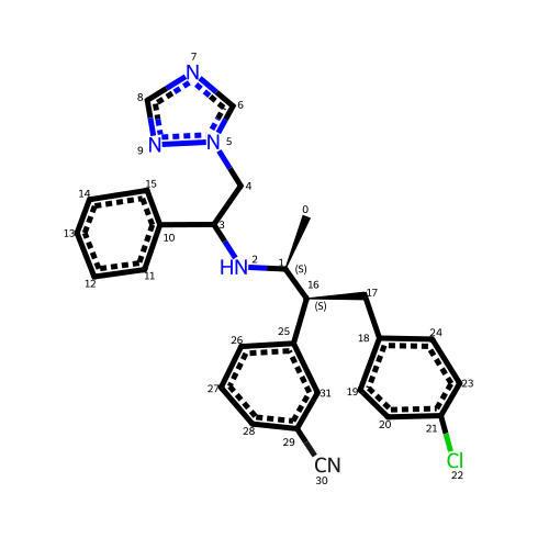 C[C@H](NC(Cn1cncn1)c1ccccc1)[C@@H](Cc1ccc(Cl)cc1)c1cccc(C#N)c1